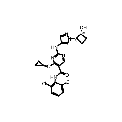 O=C(Nc1c(Cl)cccc1Cl)c1cnc(Nc2cnn([C@@H]3CC[C@@H]3O)c2)nc1OC1CC1